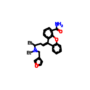 CCC(C/C=C1/c2ccccc2Oc2c(C(N)=O)cccc21)N(CC)Cc1ccoc1